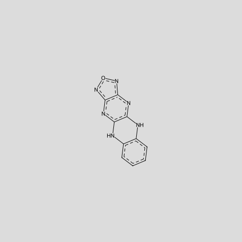 c1ccc2c(c1)Nc1nc3nonc3nc1N2